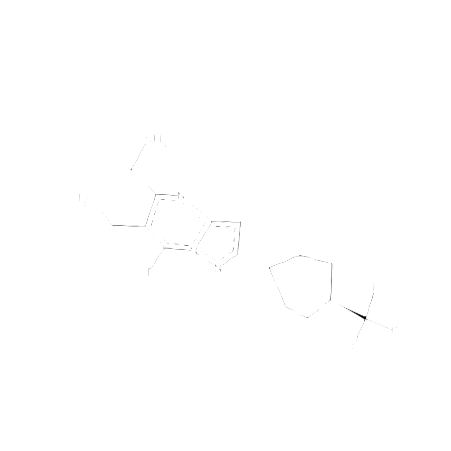 CCc1nc2cc([C@H]3CC[C@H](C(F)(F)F)CC3)nn2c(Cl)c1CC